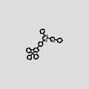 c1ccc(-c2ccc(-c3nc(-c4ccccc4)cc(-c4ccc(-c5ccc6c(c5)-c5ccccc5C6(c5ccccc5)c5ccccc5)cc4)n3)cn2)cc1